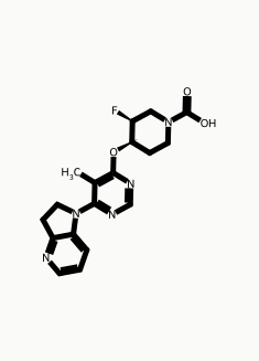 Cc1c(O[C@@H]2CCN(C(=O)O)C[C@@H]2F)ncnc1N1CCc2ncccc21